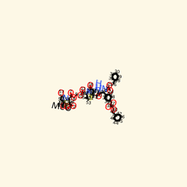 COC(=O)[C@@]1(C)[C@H](C(=O)OCOC(=O)[C@@H]2N3C(=O)[C@@H](NC(=O)C(NC(=O)OCc4ccccc4)c4ccc(OC(=O)OCc5ccccc5)cc4)[C@H]3SC2(C)C)N2C(=O)C[C@H]2S1(=O)=O